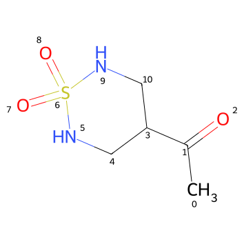 CC(=O)C1CNS(=O)(=O)NC1